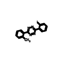 Cc1ccccc1-c1nnc(-c2ccccc2I)nn1